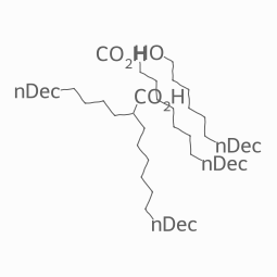 CCCCCCCCCCCCCCCCC(CCCCCCCCCCCCCC)C(=O)O.CCCCCCCCCCCCCCCCCC(=O)O.CCCCCCCCCCCCCCCCO